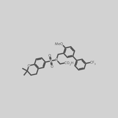 COc1ccc(-c2cccc(C(F)(F)F)c2)cc1CN(CC(=O)O)S(=O)(=O)c1ccc2c(c1)CCC(C)(C)O2